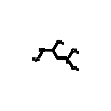 CNC(C)C=[PH](C)C